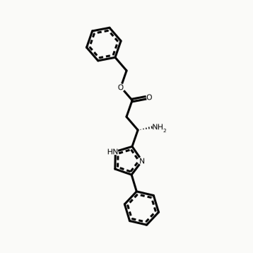 N[C@@H](CC(=O)OCc1ccccc1)c1nc(-c2ccccc2)c[nH]1